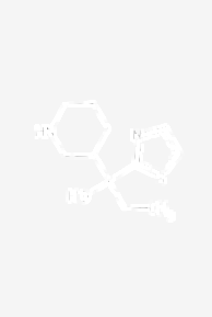 CCC(O)(c1nccs1)C1CCCNC1